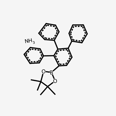 CC1(C)OB(c2ccc(-c3ccccc3)c(-c3ccccc3)c2-c2ccccc2)OC1(C)C.N